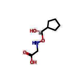 O=C(O)CNO[C@H](O)C1CCCC1